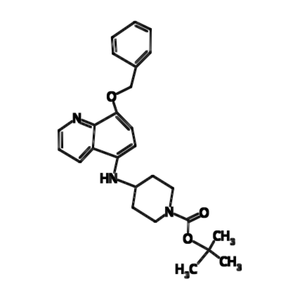 CC(C)(C)OC(=O)N1CCC(Nc2ccc(OCc3ccccc3)c3ncccc23)CC1